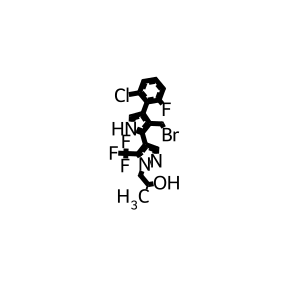 C[C@@H](O)Cn1ncc(-c2[nH]cc(-c3c(F)cccc3Cl)c2CBr)c1C(F)(F)F